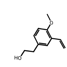 C=Cc1cc(CCO)ccc1OC